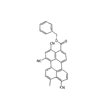 Cc1ccc2c3c(C#N)cc(C#N)c4c(C(=O)OCc5ccccc5)ccc(c5ccc(C#N)c1c52)c43